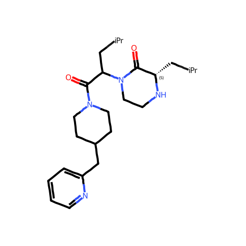 CC(C)CC(C(=O)N1CCC(Cc2ccccn2)CC1)N1CCN[C@@H](CC(C)C)C1=O